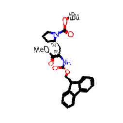 COC(=O)[C@@H](C[C@@H]1CCCN1C(=O)OC(C)(C)C)NC(=O)OCC1c2ccccc2-c2ccccc21